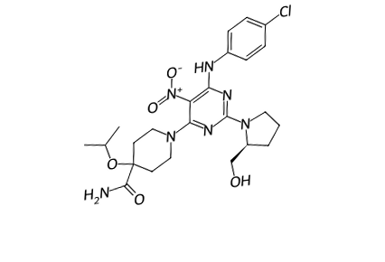 CC(C)OC1(C(N)=O)CCN(c2nc(N3CCC[C@H]3CO)nc(Nc3ccc(Cl)cc3)c2[N+](=O)[O-])CC1